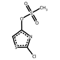 CS(=O)(=O)Oc1csc(Cl)n1